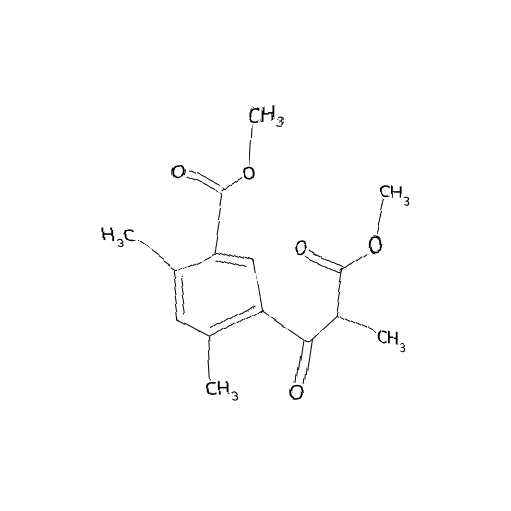 COC(=O)c1cc(C(=O)C(C)C(=O)OC)c(C)cc1C